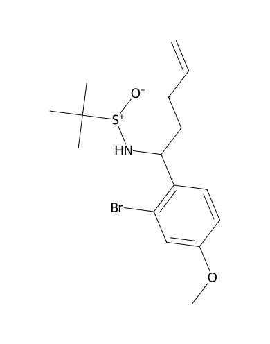 C=CCCC(N[S+]([O-])C(C)(C)C)c1ccc(OC)cc1Br